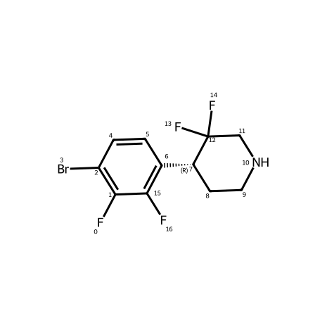 Fc1c(Br)ccc([C@H]2CCNCC2(F)F)c1F